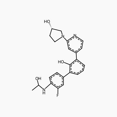 CC(O)Nc1ccc(-c2cccc(-c3ccnc(N4CC[C@H](O)C4)c3)c2O)cc1F